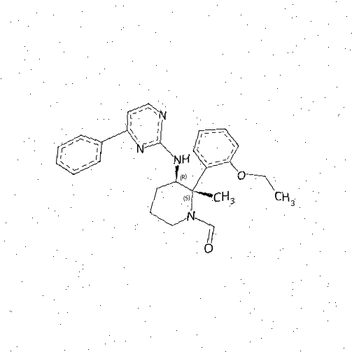 CCOc1ccccc1[C@@]1(C)[C@H](Nc2nccc(-c3ccccc3)n2)CCCN1C=O